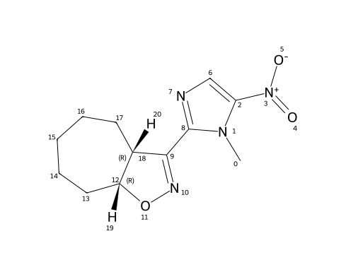 Cn1c([N+](=O)[O-])cnc1C1=NO[C@@H]2CCCCC[C@H]12